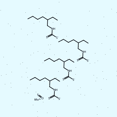 CCCCC(CC)CNC(=S)[S-].CCCCC(CC)CNC(=S)[S-].CCCCC(CC)CNC(=S)[S-].CCCCC(CC)CNC(=S)[S-].O=S.[Mo+4]